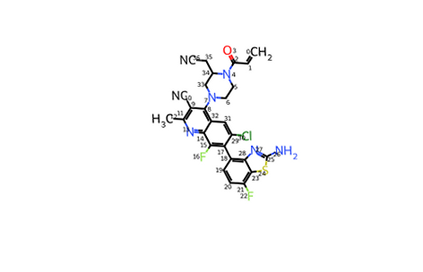 C=CC(=O)N1CCN(c2c(C#N)c(C)nc3c(F)c(-c4ccc(F)c5sc(N)nc45)c(Cl)cc23)CC1CC#N